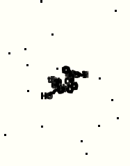 CC(C)(C)OC(=O)c1nc(N2CCc3cccc(C(=O)/N=c4\sc5ccccc5n4COCC[Si](C)(C)C)c3C2)ccc1CCCO